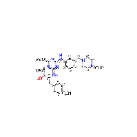 COC(=O)[C@H](Cc1ccc(C#N)cc1)Nc1nc(Nc2cccc(CN3CCN(C=O)CC3)c2)nc(OC)n1